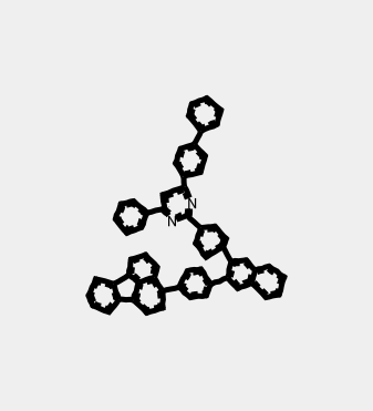 c1ccc(-c2ccc(-c3cc(-c4ccccc4)nc(-c4ccc(-c5cc6ccccc6cc5-c5ccc(-c6ccc7c8c(cccc68)-c6ccccc6-7)cc5)cc4)n3)cc2)cc1